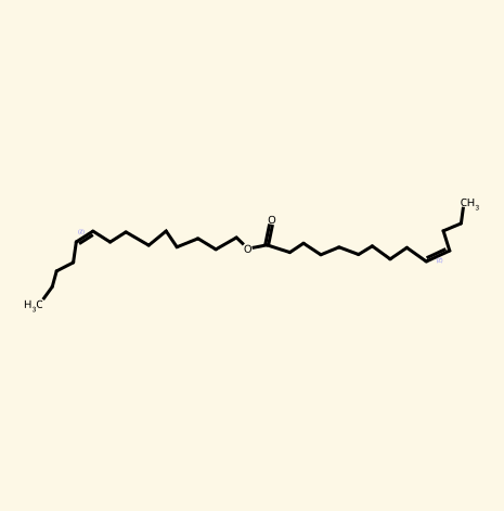 CCC/C=C\CCCCCCCCC(=O)OCCCCCCCC/C=C\CCCC